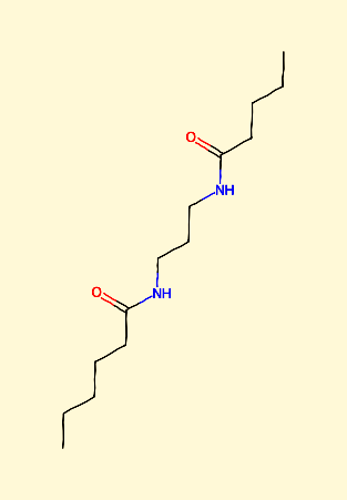 CCCCCC(=O)NCCCNC(=O)CCCC